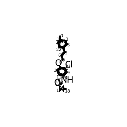 Cc1ccc(C=CCOc2ccc(NC(=O)N(C)C)cc2Cl)cc1